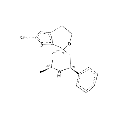 C[C@H]1C[C@@]2(C[C@@H](c3ccccc3)N1)OCCc1cc(Cl)sc12